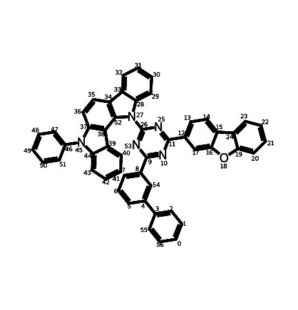 c1ccc(-c2cccc(-c3nc(-c4ccc5c(c4)oc4ccccc45)nc(-n4c5ccccc5c5ccc6c(c7ccccc7n6-c6ccccc6)c54)n3)c2)cc1